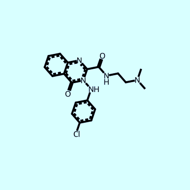 CN(C)CCNC(=O)c1nc2ccccc2c(=O)n1Nc1ccc(Cl)cc1